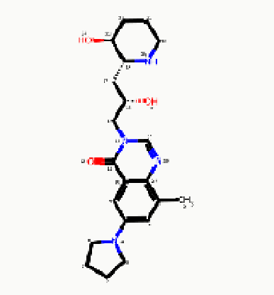 Cc1cc(N2CCCC2)cc2c(=O)n(C[C@@H](O)C[C@H]3NCCC[C@@H]3O)cnc12